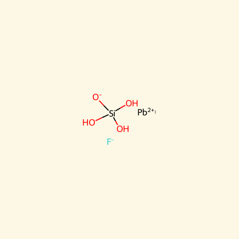 [F-].[O-][Si](O)(O)O.[Pb+2]